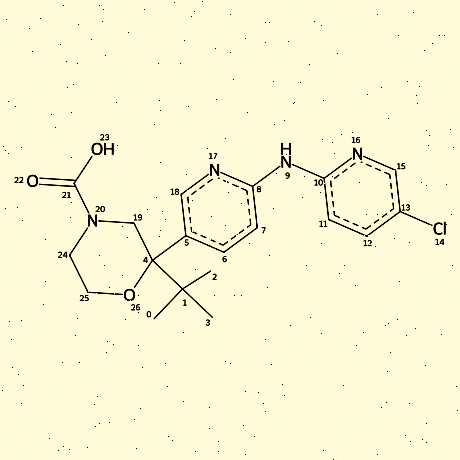 CC(C)(C)C1(c2ccc(Nc3ccc(Cl)cn3)nc2)CN(C(=O)O)CCO1